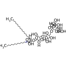 CCCCCCCCCCCCC/C=C/[C@@H](O)[C@H](COCC1OC(CO)C(COCC2OC(CO)C(O)C(CCOCC3(C(=O)O)CC(O)C(NC(=O)CO)C(C(O)C(O)CO)O3)C2O)C(O)C1O)NC(=O)CCCCCCCCCCCCCCCC